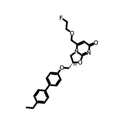 CCc1ccc(-c2ccc(OC[C@@H]3Cn4c(COCCF)cc(=O)nc4O3)cc2)cc1